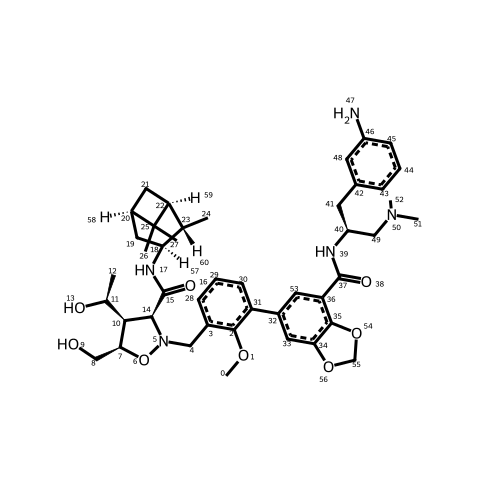 COc1c(CN2O[C@@H](CO)[C@@H]([C@H](C)O)[C@H]2C(=O)N[C@H]2C[C@H]3C[C@@H]([C@@H]2C)C3(C)C)cccc1-c1cc2c(c(C(=O)N[C@@H](Cc3cccc(N)c3)CN(C)C)c1)OCO2